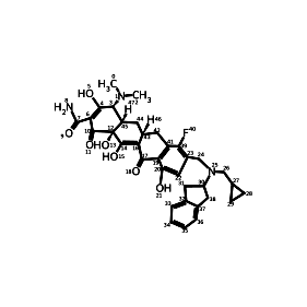 CN(C)[C@@H]1C(O)=C(C(N)=O)C(=O)[C@@]2(O)C(O)=C3C(=O)c4c(O)cc(CN(CC5CC5)C5Cc6ccccc6C5)c(F)c4C[C@H]3C[C@@H]12